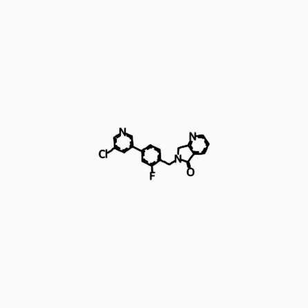 O=C1c2cccnc2CN1Cc1ccc(-c2cncc(Cl)c2)cc1F